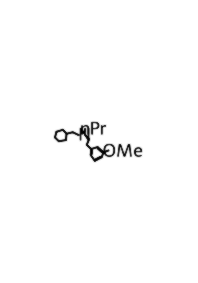 CCCN(CCc1cccc(OC)c1)CCC1CCCCC1